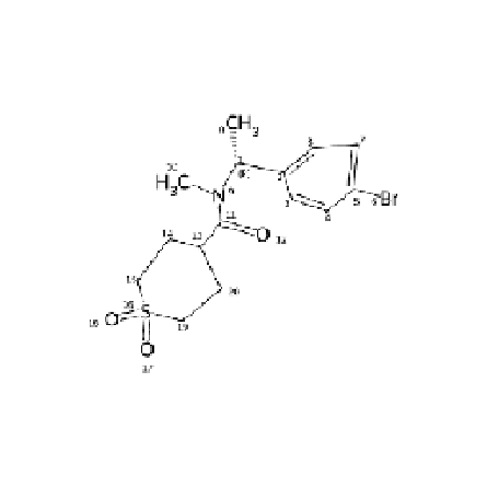 C[C@H](c1ccc(Br)cc1)N(C)C(=O)C1CCS(=O)(=O)CC1